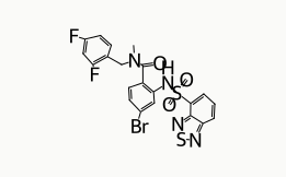 CN(Cc1ccc(F)cc1F)C(=O)c1ccc(Br)cc1NS(=O)(=O)c1cccc2nsnc12